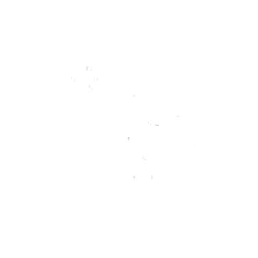 CC(C)c1c(C(=O)Nc2ccccc2)c(-c2ccccc2)c(-c2ccc(F)cc2)n1CC[C@@H](O)C[C@@H](O)CN(N=N)C(N)=O